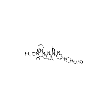 CN(C)C(=O)c1cc2cnc(Nc3ccc(N4CCN(C=O)CC4)cn3)nc2n1C1CCCC1